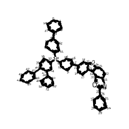 c1ccc(-c2ccc(N(c3ccc(-c4ccc5c(c4)oc4ccc6nc(-c7ccccc7)oc6c45)cc3)c3ccc(-c4ccccc4)c(-c4ccccc4)c3)cc2)cc1